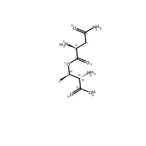 C[C@@H](OC(=O)[C@@H](N)CC(N)=O)[C@H](N)C(=O)O